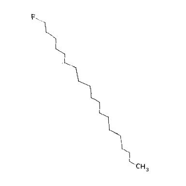 CCCCCCCCCCCCC[CH]CCCCCF